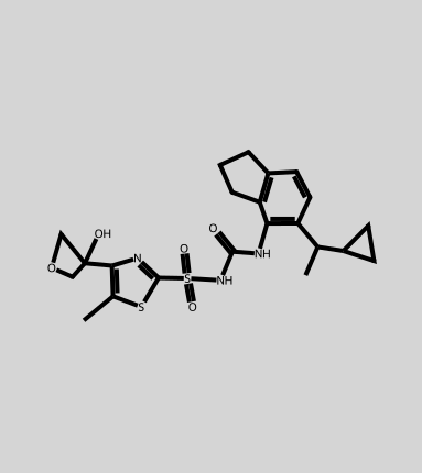 Cc1sc(S(=O)(=O)NC(=O)Nc2c(C(C)C3CC3)ccc3c2CCC3)nc1C1(O)COC1